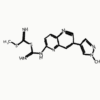 CSC(=N)SC(=N)Nc1ccc2ncc(-c3cnn(C)c3)cc2n1